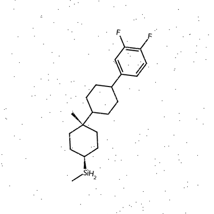 C[SiH2][C@H]1CC[C@](C)(C2CCC(c3ccc(F)c(F)c3)CC2)CC1